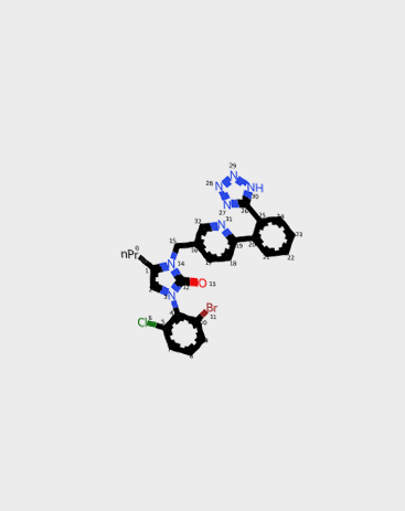 CCCc1cn(-c2c(Cl)cccc2Br)c(=O)n1Cc1ccc(-c2ccccc2-c2nnn[nH]2)nc1